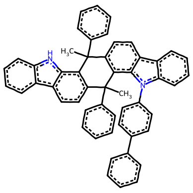 CC1(c2ccccc2)c2ccc3c4ccccc4n(-c4ccc(-c5ccccc5)cc4)c3c2C(C)(c2ccccc2)c2ccc3c([nH]c4ccccc43)c21